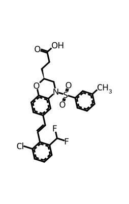 Cc1cccc(S(=O)(=O)N2C[C@H](CCC(=O)O)Oc3ccc(/C=C/c4c(Cl)cccc4C(F)F)cc32)c1